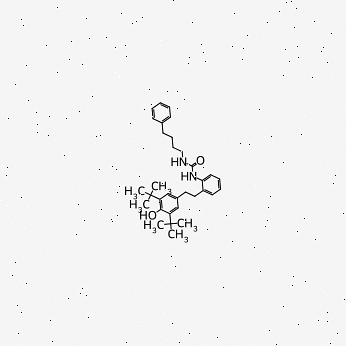 CC(C)(C)c1cc(CCc2ccccc2NC(=O)NCCCCc2ccccc2)cc(C(C)(C)C)c1O